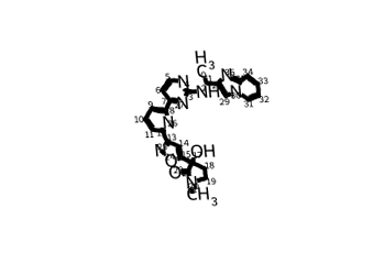 CC(Nc1nccc(-c2cccc(-c3cc(C4(O)CCN(C)C4=O)on3)n2)n1)c1cn2ccccc2n1